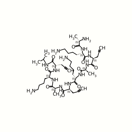 C#CC[C@H](NC(=O)[C@H](CCCCN)NC(=O)[C@H](C)NC(=O)[C@H](CC#C)NC(=O)[C@H](CCCCN)NC(=O)[C@H](C)NC(=O)[C@H](CC#C)NC(=O)[C@H](CCCCN)NC(=O)[C@H](C)N)C(=O)NC(C)C